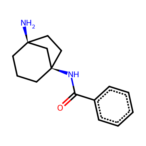 N[C@@]12CCC[C@@](NC(=O)c3ccccc3)(CC1)C2